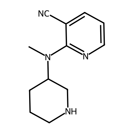 CN(c1ncccc1C#N)C1CCCNC1